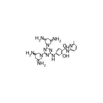 Cc1cccc(NC(=O)c2ccc(Nc3nc(N4C[C@H](N)C[C@H](N)C4)nc(N4C[C@H](N)C[C@H](N)C4)n3)cc2O)n1